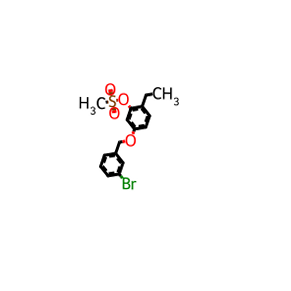 CCc1ccc(OCc2cccc(Br)c2)cc1OS(C)(=O)=O